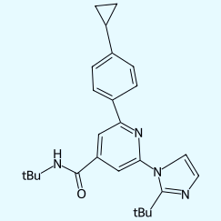 CC(C)(C)NC(=O)c1cc(-c2ccc(C3CC3)cc2)nc(-n2ccnc2C(C)(C)C)c1